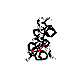 C=CC[C@H]1CC[C@H](N(c2cccc(C)c2C)[C@H]2CC[C@H](CC=C)N2[C@]2(C(=O)NC(=O)O)c3ccc(cc3)CC(C(N)=O)C2(C)C)N1[C@]1(C(=O)NC(=O)O)c2ccc(cc2)CC(C(N)=O)C1(C)C